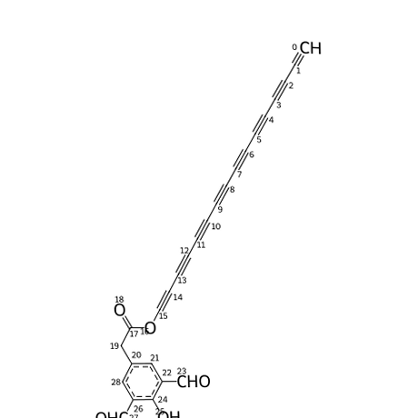 C#CC#CC#CC#CC#CC#CC#CC#COC(=O)Cc1cc(C=O)c(O)c(C=O)c1